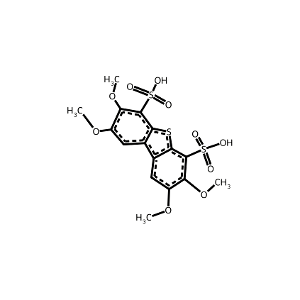 COc1cc2c(sc3c(S(=O)(=O)O)c(OC)c(OC)cc32)c(S(=O)(=O)O)c1OC